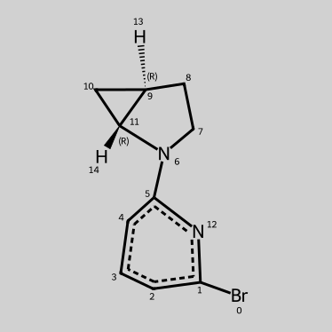 Brc1cccc(N2CC[C@@H]3C[C@H]32)n1